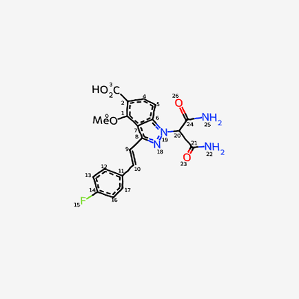 COc1c(C(=O)O)ccc2c1c(C=Cc1ccc(F)cc1)nn2C(C(N)=O)C(N)=O